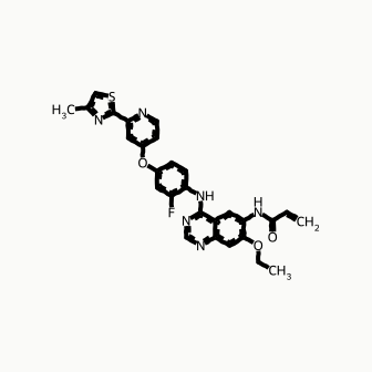 C=CC(=O)Nc1cc2c(Nc3ccc(Oc4ccnc(-c5nc(C)cs5)c4)cc3F)ncnc2cc1OCC